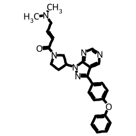 CN(C)C/C=C/C(=O)N1CCC(n2nc(-c3ccc(Oc4ccccc4)cc3)c3cncnc32)C1